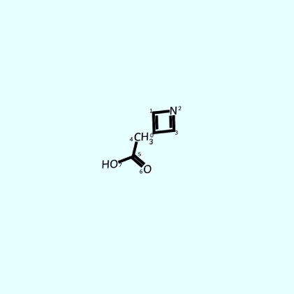 C1=CN=C1.CC(=O)O